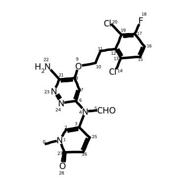 Cn1cc(N(C=O)c2cc(OCCc3c(Cl)ccc(F)c3Cl)c(N)nn2)ccc1=O